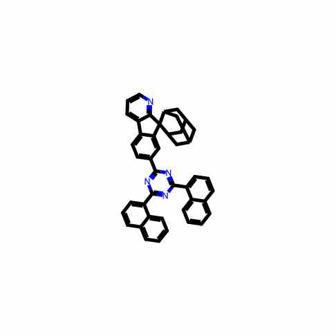 c1cnc2c(c1)-c1ccc(-c3nc(-c4cccc5ccccc45)nc(-c4cccc5ccccc45)n3)cc1C21C2CC3CC(C2)CC1C3